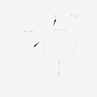 C=C(C(C)=O)C1C=C=C(N)[C@H]2CC(CC)[C@H]2C1